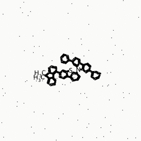 CC1(C)c2ccccc2-c2c(-c3ccc4c(c3)sc3c(-n5c6cc(-c7ccccc7)ccc6c6ccc(-c7ccccc7)cc65)cccc34)cccc21